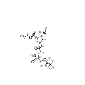 C=CCOC(=O)N1CC(CC(=O)C[C@H]2NC(=O)[C@@H]2[C@@H](C)O[Si](C)(C)C(C)(C)C)C[C@H]1COC